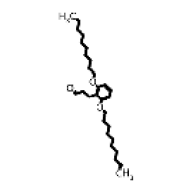 CCCCCCCCCCOc1cccc(OCCCCCCCCCC)c1CCC=O